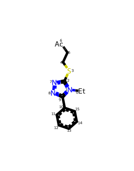 CCn1c(SCCC(C)=O)nnc1-c1ccccc1